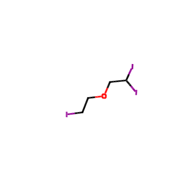 ICCOCC(I)I